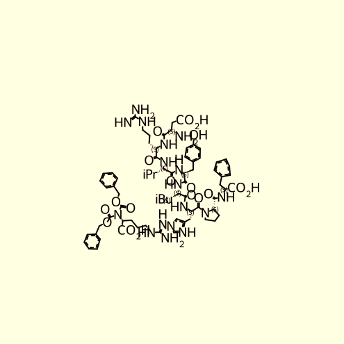 CC[C@H](C)[C@H](NC(=O)[C@H](Cc1ccc(O)cc1)NC(=O)[C@@H](NC(=O)[C@H](CCCNC(=N)N)NC(=O)[C@@H](N)CC(=O)O)C(C)C)C(=O)N[C@@H](Cc1cnc[nH]1)C(=O)N1CCC[C@H]1C(=O)N[C@@H](Cc1ccccc1)C(=O)O.N=C(N)NCCCC(C(=O)O)N(C(=O)OCc1ccccc1)C(=O)OCc1ccccc1